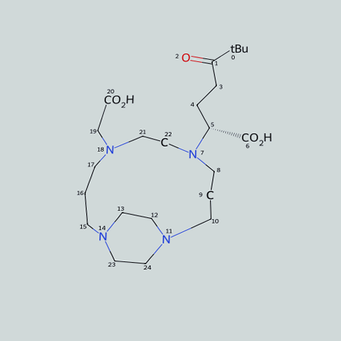 CC(C)(C)C(=O)CC[C@H](C(=O)O)N1CCCN2CCN(CCCN(CC(=O)O)CC1)CC2